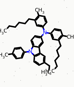 CCCCCCc1cc(N(c2ccc(C)c(CCCCCC)c2)c2ccc3c(c2)c2cc(CC)ccc2n3-c2ccc(C)cc2)ccc1C